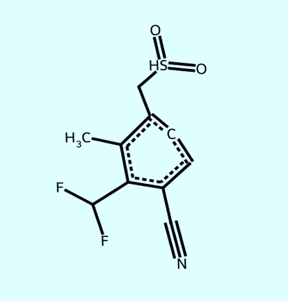 Cc1c(C[SH](=O)=O)ccc(C#N)c1C(F)F